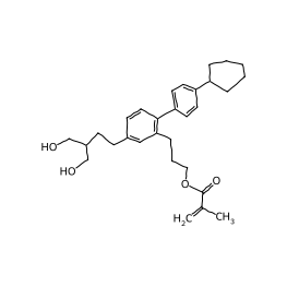 C=C(C)C(=O)OCCCc1cc(CCC(CO)CO)ccc1-c1ccc(C2CCCCC2)cc1